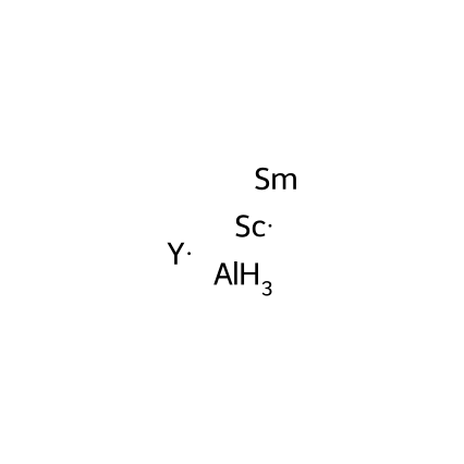 [AlH3].[Sc].[Sm].[Y]